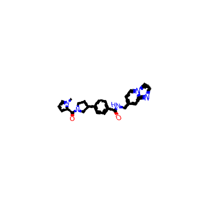 Cn1cccc1C(=O)N1CCC(c2ccc(C(=O)NCc3ccn4ccnc4c3)cc2)C1